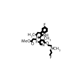 COC(=O)CCN1[C@H](c2c(F)cnc(OCCN(C)CCCF)c2C)c2[nH]c3ccc(F)cc3c2C[C@H]1C